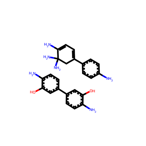 NC1=CC=C(c2ccc(N)cc2)CC1(N)N.Nc1ccc(-c2ccc(N)c(O)c2)cc1O